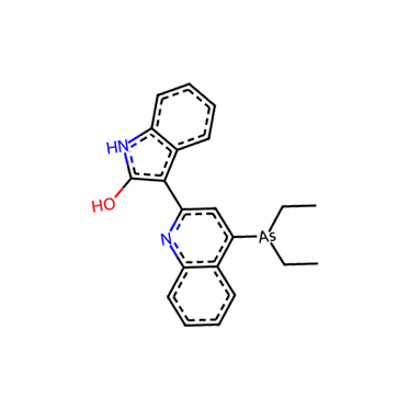 CC[As](CC)c1cc(-c2c(O)[nH]c3ccccc23)nc2ccccc12